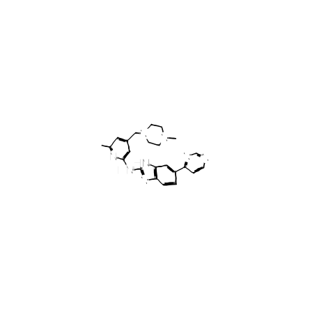 Cc1cc(CN2CCN(C)CC2)cc(Nc2nc3ccc(-c4ccncn4)cc3[nH]2)n1